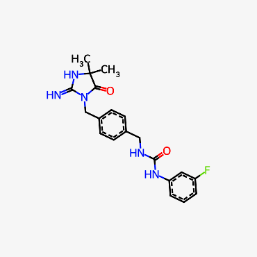 CC1(C)NC(=N)N(Cc2ccc(CNC(=O)Nc3cccc(F)c3)cc2)C1=O